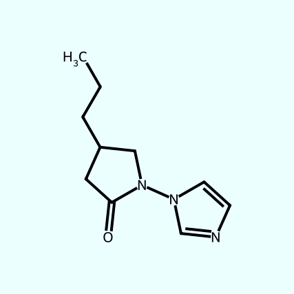 CCCC1CC(=O)N(n2ccnc2)C1